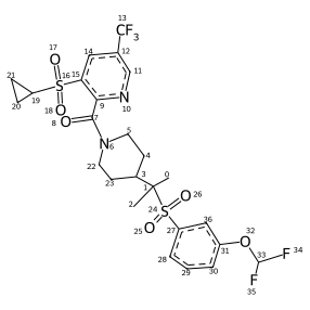 CC(C)(C1CCN(C(=O)c2ncc(C(F)(F)F)cc2S(=O)(=O)C2CC2)CC1)S(=O)(=O)c1cccc(OC(F)F)c1